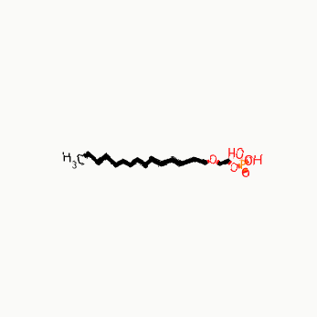 CCCCCCCCCCCCCCCOCCOP(=O)(O)O